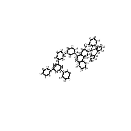 c1ccc(-c2nc(-c3ccccc3)nc(-c3cccc(-c4cccc(-c5nc6ccccc6c6cc7c(cc56)Oc5ccccc5C75c6ccccc6-c6ccccc65)c4)c3)n2)cc1